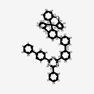 c1ccc(-c2ccc(-c3nc(-c4ccccc4)nc(-c4cccc(-c5cccc(-c6ccc7c(c6)C6(c8ccccc8Oc8ccccc86)c6cccnc6-7)c5)c4)n3)cc2)cc1